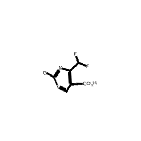 O=C(O)c1cnc(Cl)nc1C(F)F